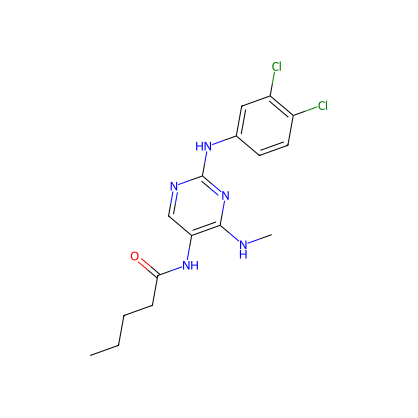 CCCCC(=O)Nc1cnc(Nc2ccc(Cl)c(Cl)c2)nc1NC